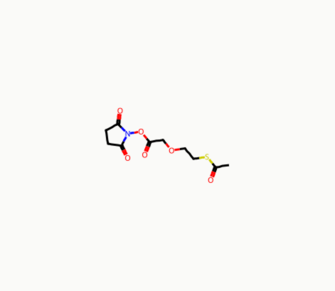 CC(=O)SCCOCC(=O)ON1C(=O)CCC1=O